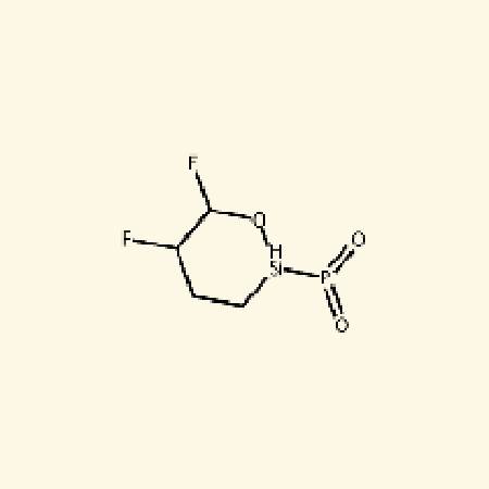 O=P(=O)[SiH]1CCC(F)C(F)O1